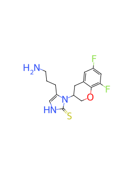 NCCCc1c[nH]c(=S)n1C1COc2c(F)cc(F)cc2C1